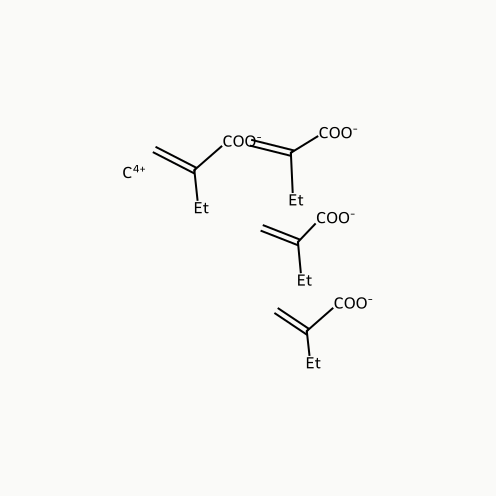 C=C(CC)C(=O)[O-].C=C(CC)C(=O)[O-].C=C(CC)C(=O)[O-].C=C(CC)C(=O)[O-].[C+4]